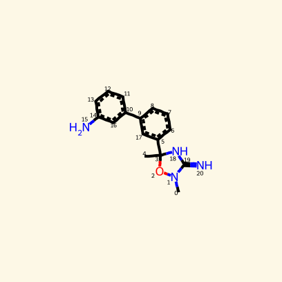 CN1OC(C)(c2cccc(-c3cccc(N)c3)c2)NC1=N